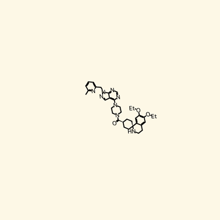 CCOc1cc2c(cc1OCC)[C@]1(CC[C@H](C(=O)N3CCN(c4ncnc5c4cnn5Cc4cccc(C)n4)CC3)CC1)NCC2